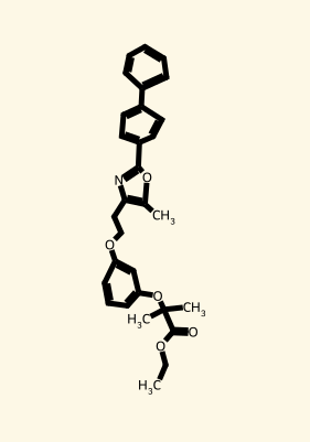 CCOC(=O)C(C)(C)Oc1cccc(OCCc2nc(-c3ccc(-c4ccccc4)cc3)oc2C)c1